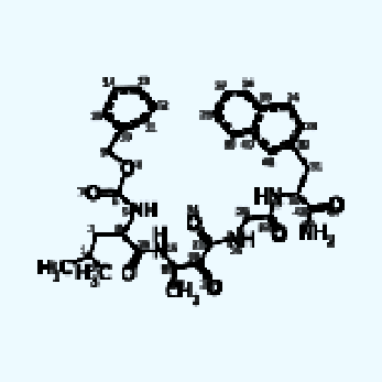 CC(C)CC(NC(=O)OCc1ccccc1)C(=O)NC(C)C(=O)C(=O)NCC(=O)NC(Cc1ccc2ccccc2c1)C(N)=O